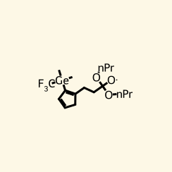 CCCOC([O])(CCC1=[C]([Ge]([CH3])([CH3])[C](F)(F)F)C=CC1)OCCC